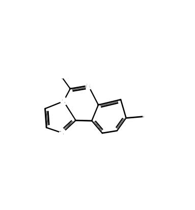 Clc1nc2cc(Br)ccc2c2nccn12